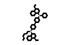 C=C/C=C\C=C\N(c1ccc(-c2ccc(N(c3ccccc3)c3ccc(C=C)c4ccccc34)cc2)cc1)c1ccc(C=C)c2ccccc12